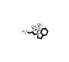 CCCC[N+]1([SiH](OC)OC)CCC2CCCCC21